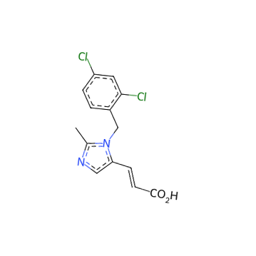 Cc1ncc(/C=C/C(=O)O)n1Cc1ccc(Cl)cc1Cl